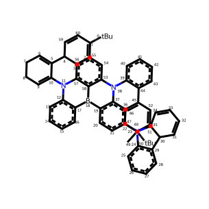 CC(C)(C)C1=CCC(C2=CCCC=C2N2c3ccccc3B3c4ccc(N5c6ccccc6C6C=CC=CC65)cc4N(c4ccccc4C4=CCC(C)(C(C)(C)C)C=C4)c4cccc2c43)C=C1